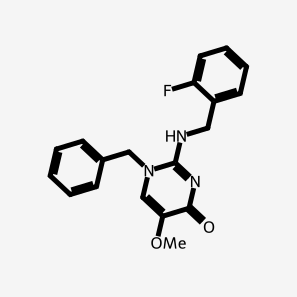 COc1cn(Cc2ccccc2)c(NCc2ccccc2F)nc1=O